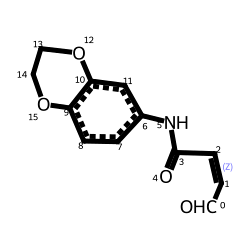 O=C/C=C\C(=O)Nc1ccc2c(c1)OCCO2